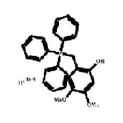 Br.COc1cc(O)c(C[P+](c2ccccc2)(c2ccccc2)c2ccccc2)cc1OC.[H+]